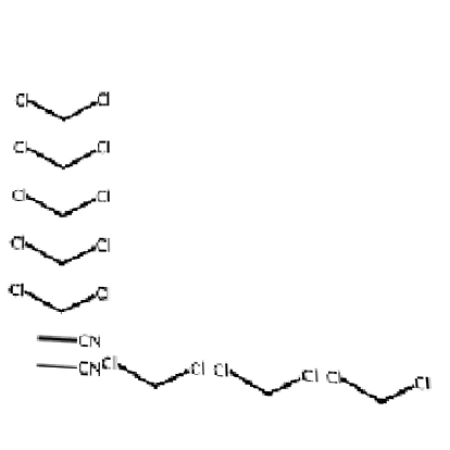 CC#N.CC#N.ClCCl.ClCCl.ClCCl.ClCCl.ClCCl.ClCCl.ClCCl.ClCCl